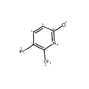 CC(C)c1ccc(Cl)nc1C(F)(F)F